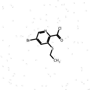 CCSc1cc(Br)cnc1C(=O)Cl